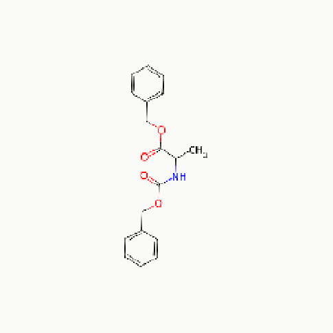 CC(NC(=O)OCc1ccccc1)C(=O)OCc1ccccc1